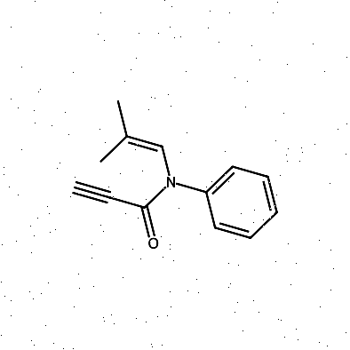 C#CC(=O)N(C=C(C)C)c1ccccc1